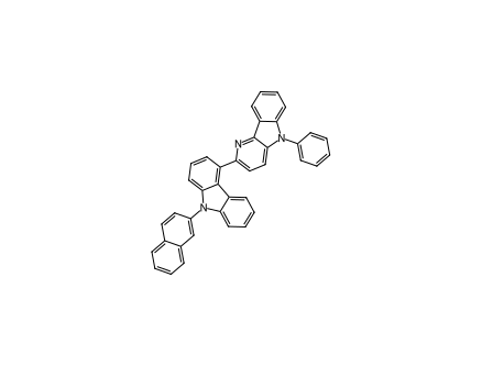 c1ccc(-n2c3ccccc3c3nc(-c4cccc5c4c4ccccc4n5-c4ccc5ccccc5c4)ccc32)cc1